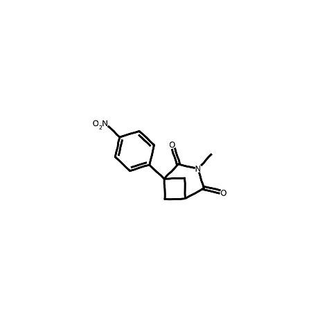 CN1C(=O)C2CC(c3ccc([N+](=O)[O-])cc3)(C2)C1=O